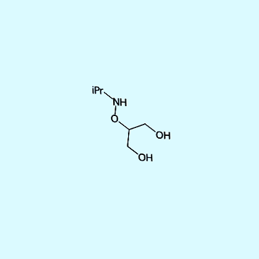 CC(C)NOC(CO)CO